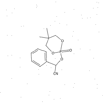 CC1(C)COP(=O)(OC(C#N)c2ccccc2)OC1